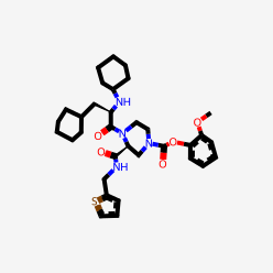 COc1ccccc1OC(=O)N1CCN(C(=O)[C@@H](CC2CCCCC2)NC2CCCCC2)[C@H](C(=O)NCc2cccs2)C1